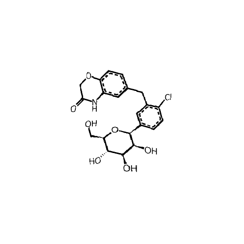 O=C1COc2ccc(Cc3cc([C@@H]4O[C@H](CO)[C@@H](O)[C@H](O)[C@@H]4O)ccc3Cl)cc2N1